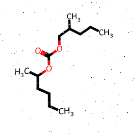 CCCCC(C)OC(=O)OCC(C)CCC